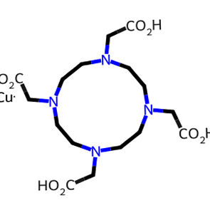 O=C(O)CN1CCN(CC(=O)O)CCN(CC(=O)O)CCN(CC(=O)O)CC1.[Cu]